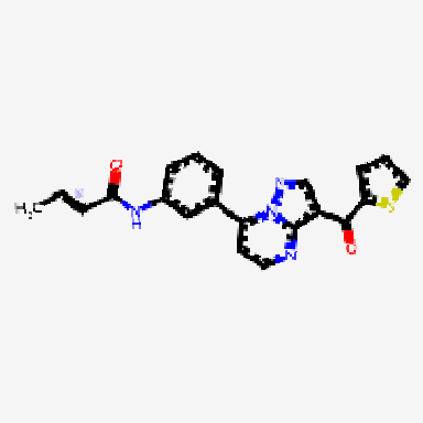 C/C=C/C(=O)Nc1cccc(-c2ccnc3c(C(=O)c4cccs4)cnn23)c1